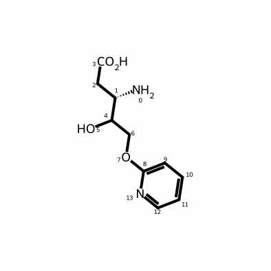 N[C@@H](CC(=O)O)C(O)COc1ccccn1